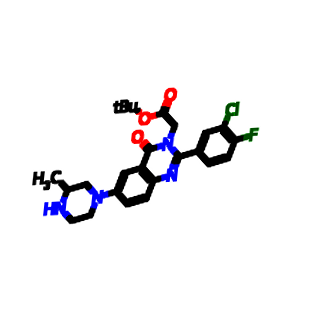 CC1CN(c2ccc3nc(-c4ccc(F)c(Cl)c4)n(CC(=O)OC(C)(C)C)c(=O)c3c2)CCN1